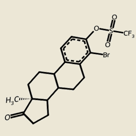 C[C@]12CCC3c4ccc(OS(=O)(=O)C(F)(F)F)c(Br)c4CCC3C1CCC2=O